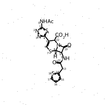 CC(=O)Nc1nnc(C2=CS[C@H]3C(NC(=O)Cc4cccs4)C(=O)N3C2C(=O)O)s1